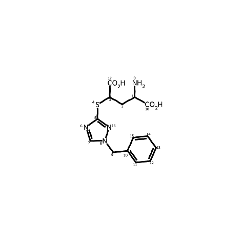 NC(CC(Sc1ncn(Cc2ccccc2)n1)C(=O)O)C(=O)O